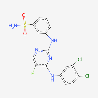 NS(=O)(=O)c1cccc(Nc2ncc(F)c(Nc3ccc(Cl)c(Cl)c3)n2)c1